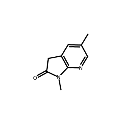 Cc1cnc2c(c1)CC(=O)N2C